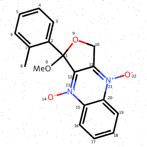 COC1(c2ccccc2C)OCc2c1[n+]([O-])c1ccccc1[n+]2[O-]